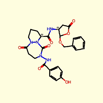 O=C1C[C@H](NC(=O)[C@@H]2CCCN3C(=O)CCN(NC(=O)c4ccc(O)cc4)C(=O)N23)C(OCc2ccccc2)O1